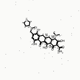 CCN(Cc1cc(O)c2c(c1Cl)C[C@H]1C[C@H]3[C@H](N(C)C)C(O)=C(C(N)=O)C(=O)[C@@]3(O)C(O)=C1C2=O)[C@@H]1CCOC1